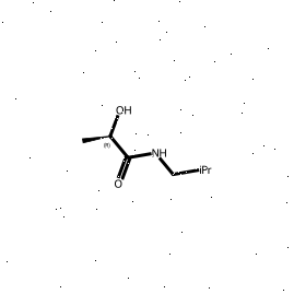 CC(C)CNC(=O)[C@@H](C)O